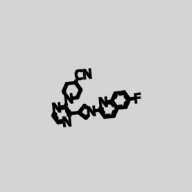 N#CC1CCN(c2nccnc2C2CN(c3ccc4cc(F)ccc4n3)C2)CC1